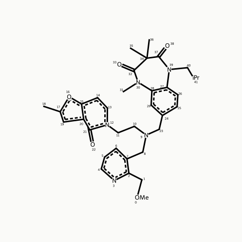 COCc1ncccc1CN(CCn1ccc2oc(C)cc2c1=O)Cc1ccc2c(c1)N(C)C(=O)C(C)(C)C(=O)N2CC(C)C